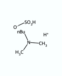 CCCCN(C)C.O=S(=O)([O-])O.[H+]